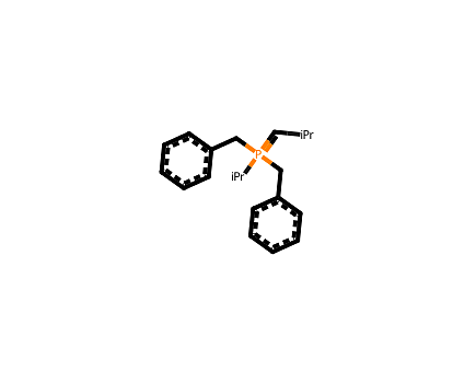 CC(C)C=P(Cc1ccccc1)(Cc1ccccc1)C(C)C